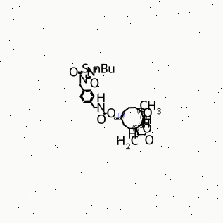 C=C1C(=O)O[C@H]2[C@H]1CC/C(COC(=O)NCc1ccc(Cn3c(=O)sn(CCCC)c3=O)cc1)=C\CC[C@@]1(C)O[C@@H]21